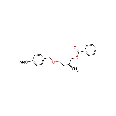 C=C(CCOCc1ccc(OC)cc1)COC(=O)c1ccccc1